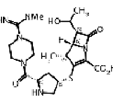 CNC(=N)N1CCN(C(=O)[C@@H]2C[C@H](SC3=C(C(=O)O)N4C(=O)[C@H](C(C)O)[C@H]4[C@H]3C)CN2)CC1